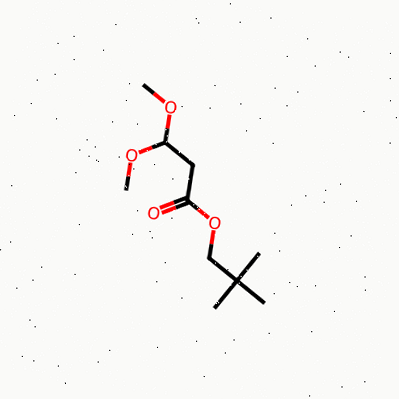 COC(CC(=O)OCC(C)(C)C)OC